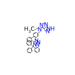 CCCN(Cc1ccc(-c2ccccc2-c2nnnn2C(c2ccccc2)(c2ccccc2)c2ccccc2)cc1)c1ncnc2[nH]ncc12